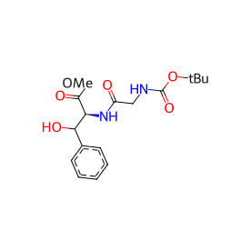 COC(=O)[C@@H](NC(=O)CNC(=O)OC(C)(C)C)C(O)c1ccccc1